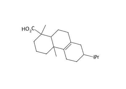 CC(C)C1CCC2=C(CCC3C(C)(C(=O)O)CCCC23C)C1